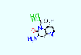 Cl.Cl.NC1Cc2ncccc2N(CC(=O)O)C1=O